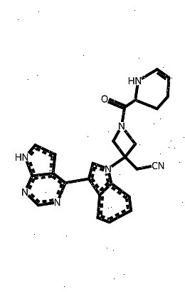 N#CCC1(n2cc(-c3ncnc4[nH]ccc34)c3ccccc32)CN(C(=O)C2CCC=CN2)C1